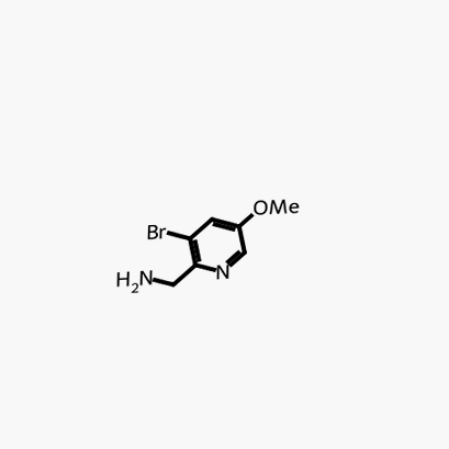 COc1cnc(CN)c(Br)c1